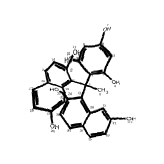 CC(c1c(O)cc(O)cc1O)(c1c(O)ccc2ccc(O)cc12)c1c(O)ccc2ccc(O)cc12